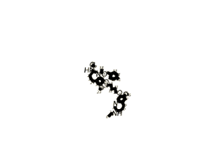 C=CNC1/C=N\c2cc(OCCCCCOc3cc4c(cc3OC)CCCC(NC=O)CN4C(=C)OCc3ccc(C)cc3)c(OC)cc2CCC1